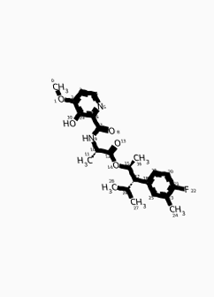 COc1ccnc(C(=O)N[C@@H](C)C(=O)O[C@@H](C)[C@H](c2ccc(F)c(C)c2)C(C)C)c1O